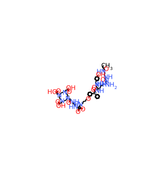 CCC(=O)NCCNC(=O)/N=C(/N)NCCC[C@@H](NC(=O)[C@@H](c1ccccc1)c1cccc(OCCCCNc2c(NCCNC(=O)CN3CCN(CC(=O)O)CCN(CC(=O)O)CCN(CC(=O)O)CC3)c(=O)c2=O)c1)C(=O)NCc1ccc(O)cc1